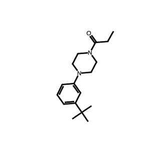 CCC(=O)N1CCN(c2cccc(C(C)(C)C)c2)CC1